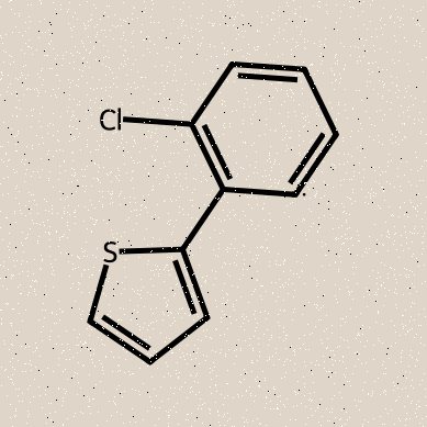 Clc1ccc[c]c1-c1cccs1